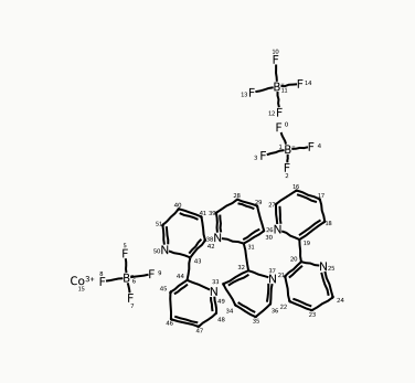 F[B-](F)(F)F.F[B-](F)(F)F.F[B-](F)(F)F.[Co+3].c1ccc(-c2ccccn2)nc1.c1ccc(-c2ccccn2)nc1.c1ccc(-c2ccccn2)nc1